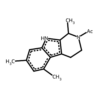 CC(=O)N1CCc2c([nH]c3cc(C)cc(C)c23)C1C